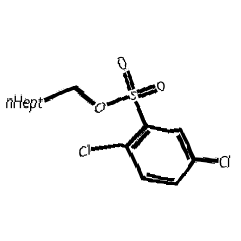 CCCCCCCCOS(=O)(=O)c1cc(Cl)ccc1Cl